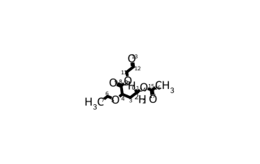 [2H]C([2H])(CC(OCC)C(=O)OCC=O)OC(C)=O